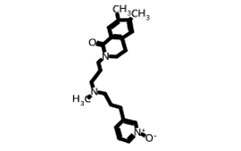 Cc1cc2c(cc1C)C(=O)N(CCCN(C)CCCc1ccc[n+]([O-])c1)CC2